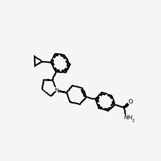 NC(=O)c1ccc(C2=CCC(N3CCCC3c3ccccc3C3CC3)CC2)cc1